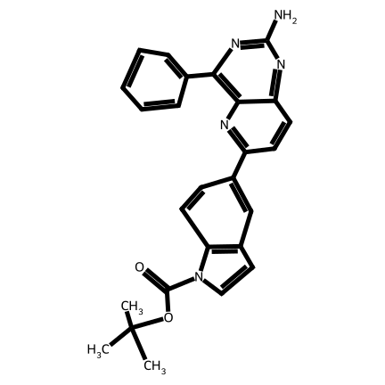 CC(C)(C)OC(=O)n1ccc2cc(-c3ccc4nc(N)nc(-c5ccccc5)c4n3)ccc21